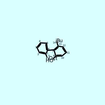 CCCCCCCCc1ccccc1-c1c(O)cccc1C(C)CC